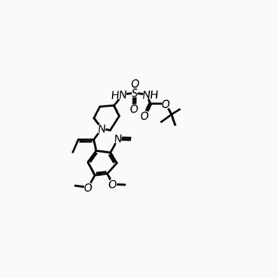 C=Nc1cc(OC)c(OC)cc1/C(=C\C)N1CCC(NS(=O)(=O)NC(=O)OC(C)(C)C)CC1